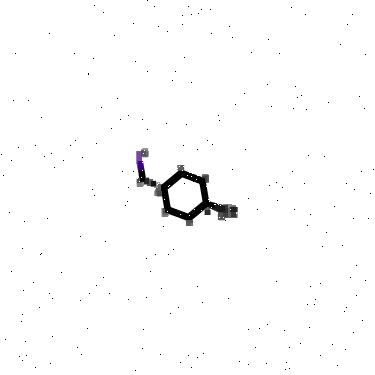 CC[C@H]1CC[C@H](CI)CC1